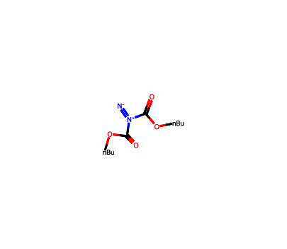 CCCCOC(=O)[N+](=[N-])C(=O)OCCCC